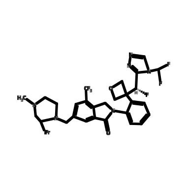 CC(C)C1CN(C)CCN1Cc1cc2c(c(C(F)(F)F)c1)CN(c1ccccc1C1([C@@H](F)c3nncn3C(F)F)COC1)C2=O